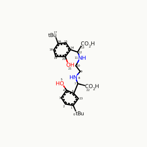 CC(C)(C)c1ccc(O)c(C(NCCNC(C(=O)O)c2cc(C(C)(C)C)ccc2O)C(=O)O)c1